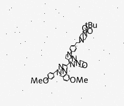 COc1ccc(CN(Cc2ccc(OC)cc2)c2ncc(-c3nc(N4CCOCC4)nc4c3CCN4c3ccc(CCN4CCN(C(=O)OC(C)(C)C)CC4)cc3)cn2)cc1